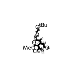 COC(=O)c1c(C(C)/C=N\OCCOC(C)(C)C)cc(=O)n(C)c1Cl